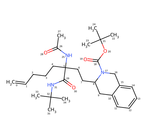 C=CCCCC(CCC1Cc2ccccc2CN1C(=O)OC(C)(C)C)(NC(C)=O)C(=O)NC(C)(C)C